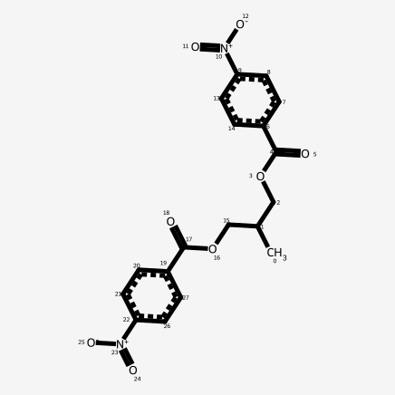 CC(COC(=O)c1ccc([N+](=O)[O-])cc1)COC(=O)c1ccc([N+](=O)[O-])cc1